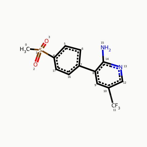 CS(=O)(=O)c1ccc(-c2cc(C(F)(F)F)cnc2N)cc1